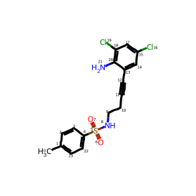 Cc1ccc(S(=O)(=O)NCCC#Cc2cc(Cl)cc(Cl)c2N)cc1